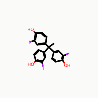 CC(c1ccc(O)c(I)c1)(c1ccc(O)c(I)c1)c1ccc(O)c(I)c1